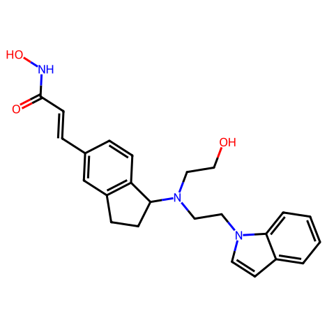 O=C(C=Cc1ccc2c(c1)CCC2N(CCO)CCn1ccc2ccccc21)NO